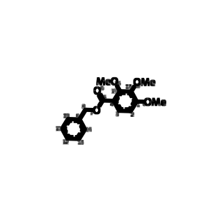 COc1ccc(C(=O)OCc2ccccc2)c(OC)c1OC